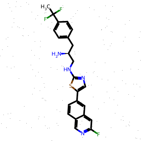 CC(F)(F)c1ccc(C[C@H](N)CNc2ncc(-c3ccc4cnc(F)cc4c3)s2)cc1